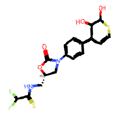 O=C1O[C@@H](CNC(=S)C(F)F)CN1c1ccc(C2C=CSC(O)C2O)cc1